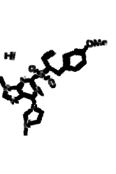 C=CC(Cc1ccc(OC)cc1)S(=O)(=O)c1nc(N2CCN(C)C2)c2ncn(C)c2n1.I